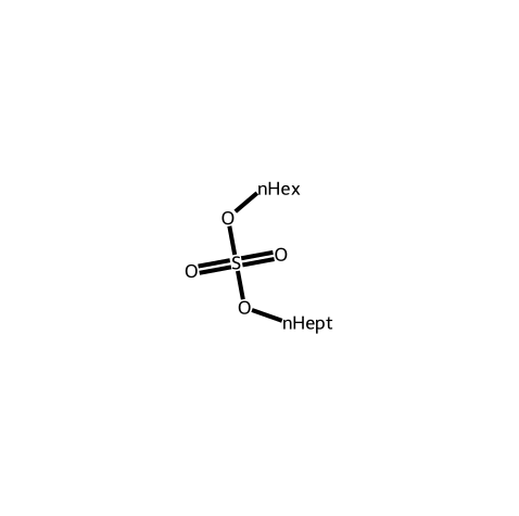 CCCCCCCOS(=O)(=O)OCCCCCC